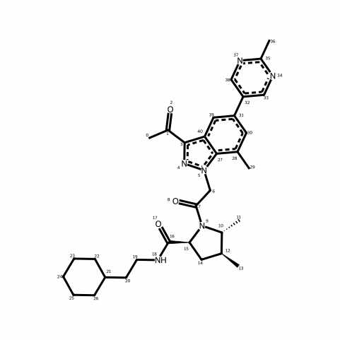 CC(=O)c1nn(CC(=O)N2[C@H](C)[C@@H](C)C[C@H]2C(=O)NCCC2CCCCC2)c2c(C)cc(-c3cnc(C)nc3)cc12